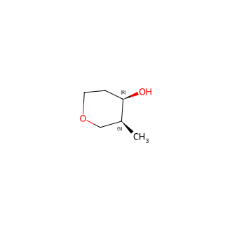 C[C@H]1COCC[C@H]1O